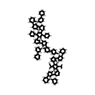 CC(C)c1c2c3cccc4c5c6c(ccc5n(c2c(C(C)C)c2c5cccc7c8c9c(ccc8n(c12)c57)c1ccccc1n9-c1ccc(-c2ccc5c(c2)c2ccc7c(c8cccc9c%10c(-c%11ccccc%11)c%11c(c(-c%12ccccc%12)c%10n7c98)C7C=CC=C8c9c(ccc%10c%12ccccc%12n(-c%12cccc(-c%13ccccc%13)c%12)c9%10)N%11C87)c2n5-c2cccc(-c5ccccc5)c2)cc1)c34)c1ccccc1n6-c1ccccc1